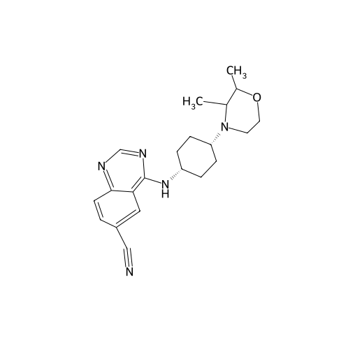 CC1OCCN([C@H]2CC[C@@H](Nc3ncnc4ccc(C#N)cc34)CC2)C1C